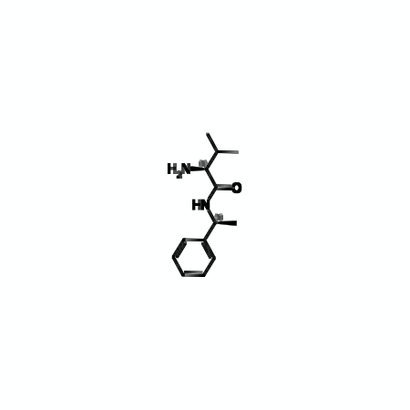 CC(C)[C@H](N)C(=O)N[C@@H](C)c1ccccc1